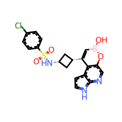 O=S(=O)(N[C@H]1C[C@@H](C2=CB(O)Oc3cnc4[nH]ccc4c32)C1)c1ccc(Cl)cc1